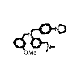 COc1cccc(CN(Cc2ccc(N3CCCC3)cc2)c2cccc(CN(C)C)c2)c1